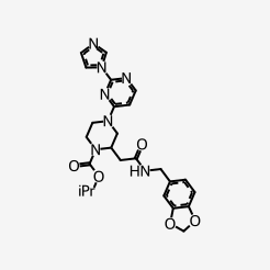 CC(C)OC(=O)N1CCN(c2ccnc(-n3ccnc3)n2)CC1CC(=O)NCc1ccc2c(c1)OCO2